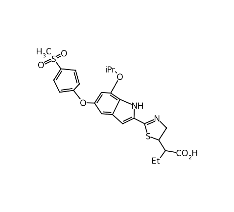 CCC(C(=O)O)C1CN=C(c2cc3cc(Oc4ccc(S(C)(=O)=O)cc4)cc(OC(C)C)c3[nH]2)S1